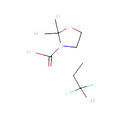 CC(F)(F)CC[C@H]1COC(C)(C)N1C(=O)O